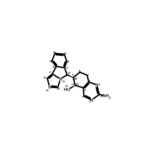 Nc1ncc2c(n1)CC[C@H](C1c3ccccc3-c3cncn31)[C@@H]2O